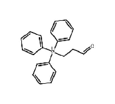 O=[C]CC[PH](c1ccccc1)(c1ccccc1)c1ccccc1